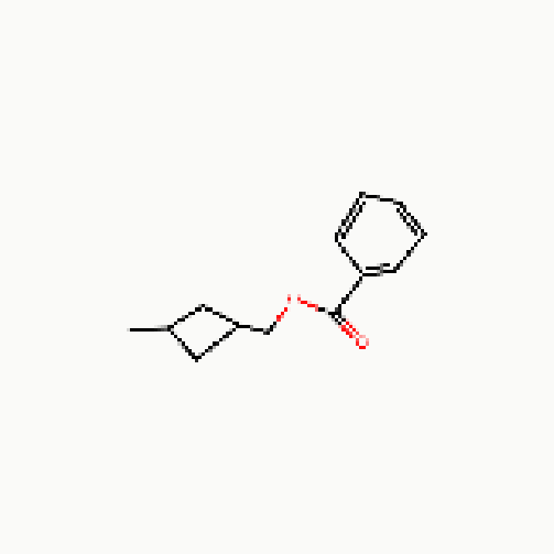 CC1CC(COC(=O)c2ccccc2)C1